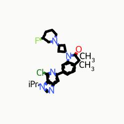 CC(C)n1cnc2cc(-c3ccc4c(c3)N(C3CC(N5CCCC(F)C5)C3)C(=O)C4(C)C)nc(Cl)c21